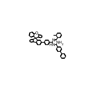 CC1C=CC=CC1/C=N/C(NC(N)c1ccc(-c2ccccc2)cc1)c1ccc(-c2ccc3c(c2)C2(c4ccccc4Oc4ccccc42)c2ccccc2-3)cc1